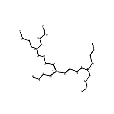 CCCCP(CCCC)CCCCP(CCCC)CCCCP(CCCC)CCCC